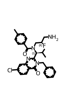 Cc1ccc(C(=O)N(C[C@H](F)CN)[C@H](c2nc3cc(Cl)ccc3c(=O)n2Cc2ccccc2)C(C)C)cc1